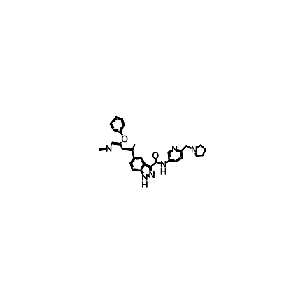 C=N/C=C(\C=C(/C)c1ccc2[nH]nc(C(=O)Nc3ccc(CN4CCCC4)nc3)c2c1)Oc1ccccc1